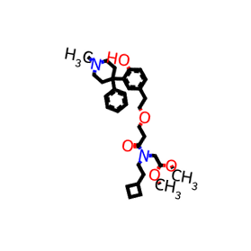 COC(CN(CCC1CCC1)C(=O)CCOCCc1ccc(O)c(C2(c3ccccc3)CCN(C)CC2)c1)OC